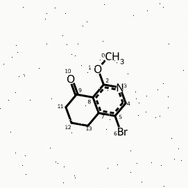 COc1ncc(Br)c2c1C(=O)CCC2